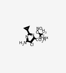 CCCCCCC(C)ON=O.Nc1nc(C2CC2)nc(C(=O)O)c1Cl